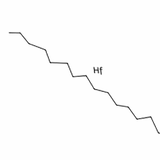 CCCCCCCCCCCCCCCC.[Hf]